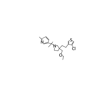 CCOCC1(CCc2cscc2Cl)CCN(C(C)(C)c2ccc(C)nc2)C1